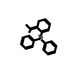 CC(C)=C1CC=CC=C1[PH2](c1ccccc1)c1ccccc1